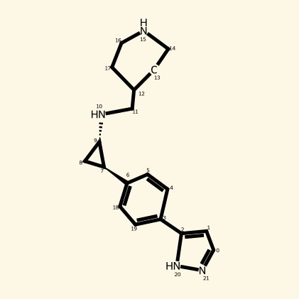 c1cc(-c2ccc([C@H]3C[C@@H]3NCC3CCNCC3)cc2)[nH]n1